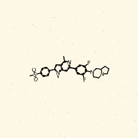 Cc1nc(-c2cc(F)c(N3CCN4CCCC4C3)c(F)c2)cc2c1cc(-c1ccc(S(C)(=O)=O)cc1)n2C